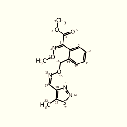 CO/N=C(/C(=O)OC)c1ccccc1CO/N=C\c1nnsc1C